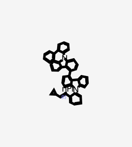 CCC/C(=C\C1CC1)c1ccccc1-n1c2ccccc2c2c(-c3cccc4c3c3ccccc3n4-c3ccccc3-c3ccccc3)cccc21